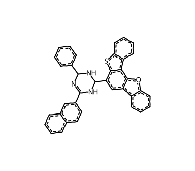 c1ccc(C2N=C(c3ccc4ccccc4c3)NC(c3cc4c5ccccc5oc4c4c3sc3ccccc34)N2)cc1